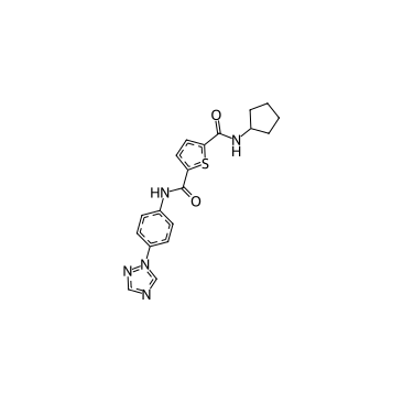 O=C(Nc1ccc(-n2cncn2)cc1)c1ccc(C(=O)NC2CCCC2)s1